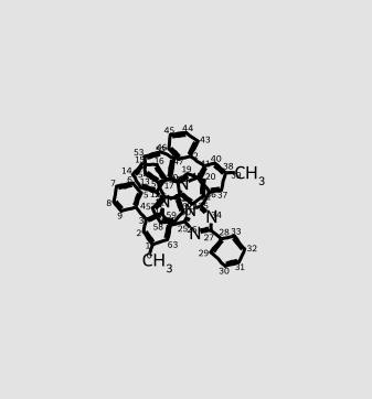 Cc1cc(-c2ccccc2)c(-n2c3ccccc3c3ccccc32)c(-c2nc(-c3ccccc3)nc(-c3cc(C)cc(-c4ccccc4)c3-n3c4ccccc4c4ccccc43)n2)c1